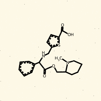 CN1CCCCC1COC(=O)C(NCc1ccc(C(=O)O)s1)c1ccccc1